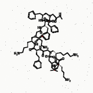 CNC(=O)CN(C[C@H](Cc1ccccc1)NC(=O)[C@H](Cc1ccccc1)NC(=O)CN(C[C@H](CCCCN)NC(=O)[C@H](CCc1ccccc1)NC(=O)CN(C[C@H](CCCCN)NC(=O)[C@H](CCCCN)NC(C)C)S(=O)(=O)Cc1ccccc1)S(=O)(=O)CCN)S(=O)(=O)Cc1ccccc1